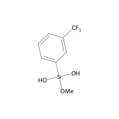 CO[Si](O)(O)c1cccc(C(F)(F)F)c1